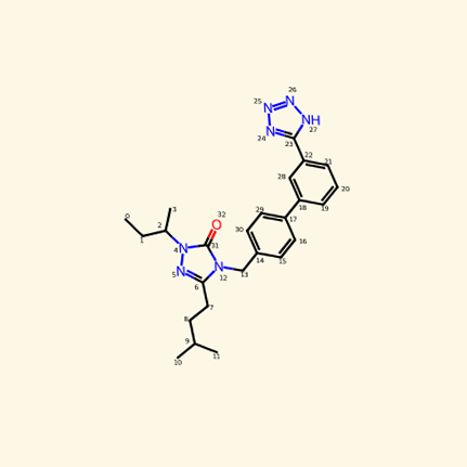 CCC(C)n1nc(CCC(C)C)n(Cc2ccc(-c3cccc(-c4nnn[nH]4)c3)cc2)c1=O